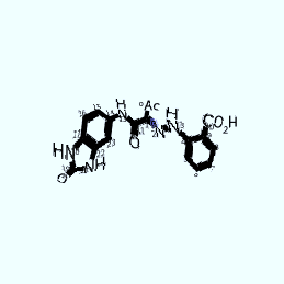 CC(=O)/C(=N\Nc1ccccc1C(=O)O)C(=O)Nc1ccc2[nH]c(=O)[nH]c2c1